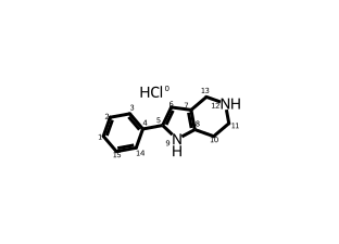 Cl.c1ccc(-c2cc3c([nH]2)CCNC3)cc1